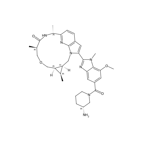 COc1cc(C(=O)N2CCC[C@@H](N)C2)cc2nc(-c3cc4ccc5nc4n3C[C@H]3[C@@H](C)[C@H]3COC[C@@H](C)C(=O)N[C@@H]5C)n(C)c12